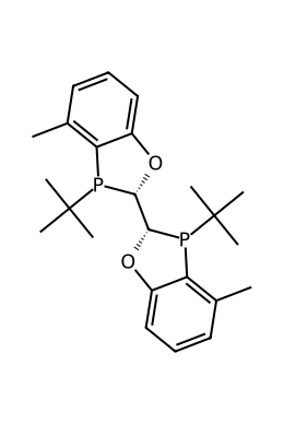 Cc1cccc2c1P(C(C)(C)C)[C@@H]([C@H]1Oc3cccc(C)c3P1C(C)(C)C)O2